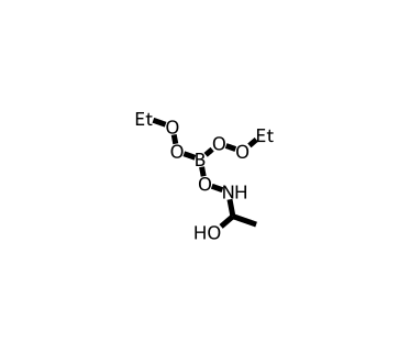 CCOOB(ONC(C)O)OOCC